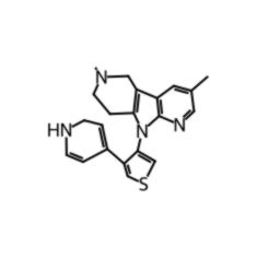 Cc1cnc2c(c1)c1c(n2-c2cscc2C2=CCNC=C2)CCN(C)C1